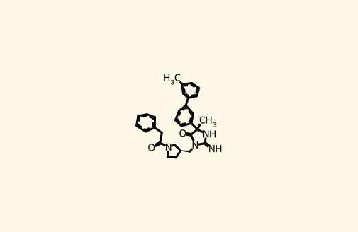 Cc1cccc(-c2cccc(C3(C)NC(=N)N(C[C@H]4CCN(C(=O)Cc5ccccc5)C4)C3=O)c2)c1